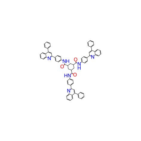 O=C(Nc1ccc(-c2cc(-c3ccccc3)c3ccccc3n2)cc1)C1CC(C(=O)Nc2ccc(-c3cc(-c4ccccc4)c4ccccc4n3)cc2)CC(C(=O)Nc2ccc(-c3cc(-c4ccccc4)c4ccccc4n3)cc2)C1